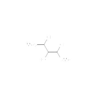 CSC(C)C(O)C(C)SC